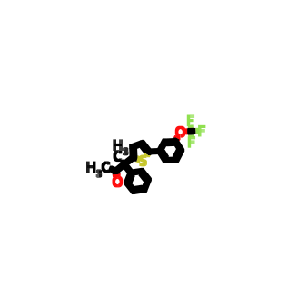 CC(=O)[C@](C)(c1ccccc1)c1ccc(-c2cccc(OC(F)(F)F)c2)s1